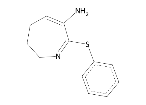 NC1=CCCCN=C1Sc1ccccc1